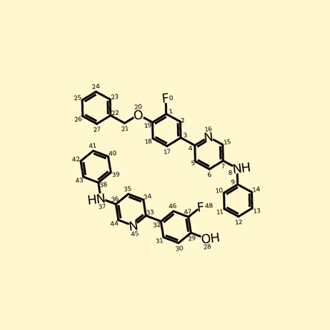 Fc1cc(-c2ccc(Nc3ccccc3)cn2)ccc1OCc1ccccc1.Oc1ccc(-c2ccc(Nc3ccccc3)cn2)cc1F